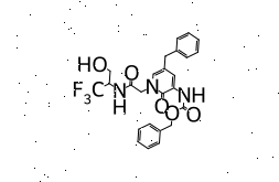 O=C(Cn1cc(Cc2ccccc2)cc(NC(=O)OCc2ccccc2)c1=O)NC(CO)C(F)(F)F